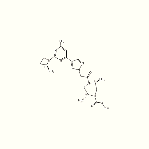 C[C@@H]1CN(C(=O)Cn2cc(-c3cc(C(F)(F)F)nc(N4CC[C@@H]4C)n3)cn2)[C@@H](C)CN1C(=O)OC(C)(C)C